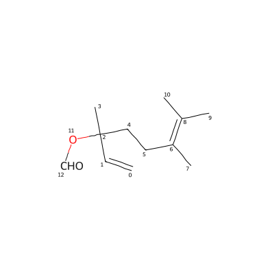 C=CC(C)(CCC(C)=C(C)C)OC=O